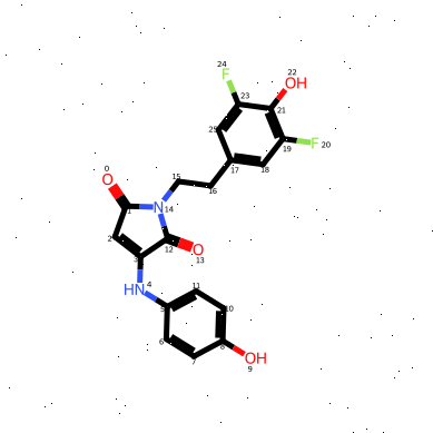 O=C1C=C(Nc2ccc(O)cc2)C(=O)N1CCc1cc(F)c(O)c(F)c1